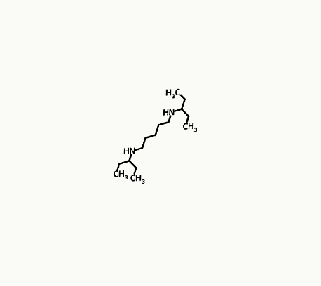 CCC(CC)NCCCCCNC(CC)CC